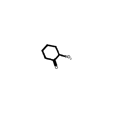 O=C1CCCCC1[N+](=O)[O-]